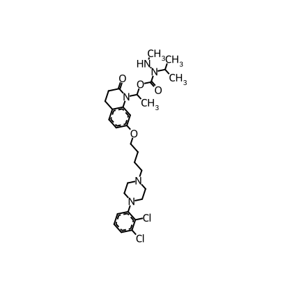 CNN(C(=O)OC(C)N1C(=O)CCc2ccc(OCCCCN3CCN(c4cccc(Cl)c4Cl)CC3)cc21)C(C)C